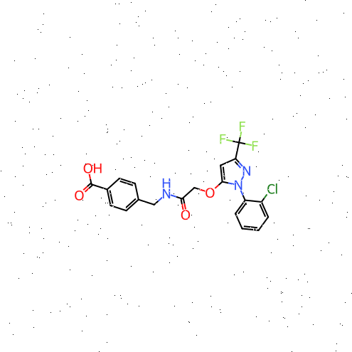 O=C(COc1cc(C(F)(F)F)nn1-c1ccccc1Cl)NCc1ccc(C(=O)O)cc1